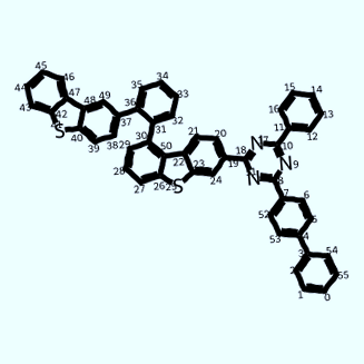 c1ccc(-c2ccc(-c3nc(-c4ccccc4)nc(-c4ccc5c(c4)sc4cccc(-c6ccccc6-c6ccc7sc8ccccc8c7c6)c45)n3)cc2)cc1